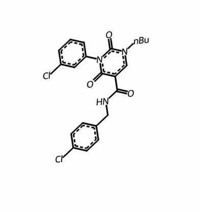 CCCCn1cc(C(=O)NCc2ccc(Cl)cc2)c(=O)n(-c2cccc(Cl)c2)c1=O